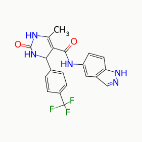 CC1=C(C(=O)Nc2ccc3[nH]ncc3c2)C(c2ccc(C(F)(F)F)cc2)NC(=O)N1